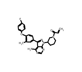 C=CC(=O)N1CCCC(n2nc(-c3ccc(Oc4ccc(F)cc4)c(C)c3)c3c(N)ncnc32)C1